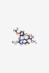 Cc1noc(C)c1-c1cn2c(Cc3ccccc3OC(F)F)c(C)nc2cc1F